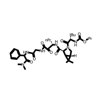 CCC[C@H](NC(=O)[C@@H]1C2[C@H](CN1C(=O)[C@@H](NC(=O)OC(C)C)C(C)(C)C)C2(C)C)C(=O)C(=O)NCC(=O)NC(C(=O)N(C)C)c1ccccc1